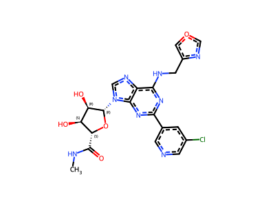 CNC(=O)[C@H]1O[C@@H](n2cnc3c(NCc4cocn4)nc(-c4cncc(Cl)c4)nc32)[C@H](O)[C@@H]1O